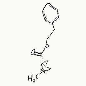 CN1C[C@H]1C(=O)OCCc1ccccc1